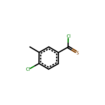 Cc1cc(C(=S)Cl)ccc1Cl